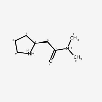 CN(C)C(=O)C[C@@H]1CCCN1